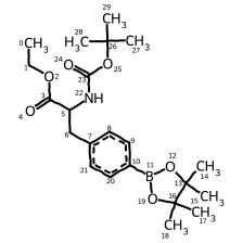 CCOC(=O)C(Cc1ccc(B2OC(C)(C)C(C)(C)O2)cc1)NC(=O)OC(C)(C)C